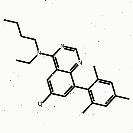 CCCCN(CC)c1ncnc2c(-c3c(C)cc(C)cc3C)cc(Cl)cc12